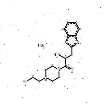 Br.NC(Cc1nc2ccccc2s1)C(=O)N1CCN(CCF)CC1